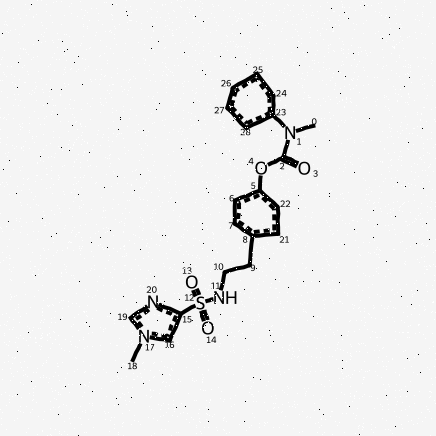 CN(C(=O)Oc1ccc(CCNS(=O)(=O)c2cn(C)cn2)cc1)c1ccccc1